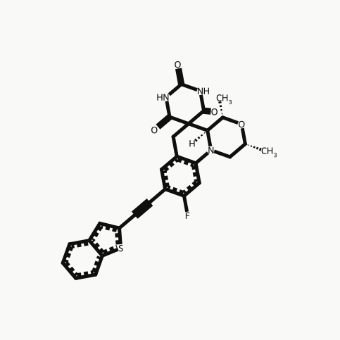 C[C@@H]1CN2c3cc(F)c(C#Cc4cc5ccccc5s4)cc3CC3(C(=O)NC(=O)NC3=O)[C@H]2[C@H](C)O1